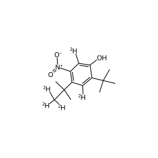 [2H]c1c(O)c(C(C)(C)C)c([2H])c(C(C)(C)C([2H])([2H])[2H])c1[N+](=O)[O-]